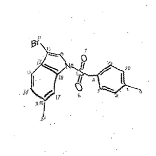 Cc1ccc(S(=O)(=O)n2cc(Br)c3ccc(C)cc32)cc1